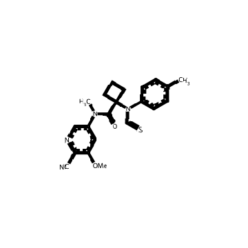 COc1cc(N(C)C(=O)C2(N(C=S)c3ccc(C)cc3)CCC2)cnc1C#N